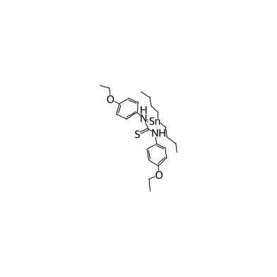 CCC[CH2][Sn][CH2]CCC.CCOc1ccc(NC(=S)Nc2ccc(OCC)cc2)cc1